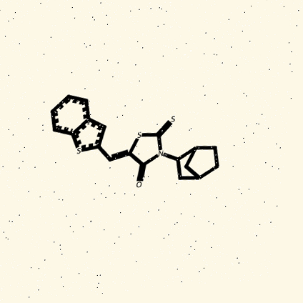 O=C1/C(=C/c2cc3ccccc3s2)SC(=S)N1C1CC2CCC1C2